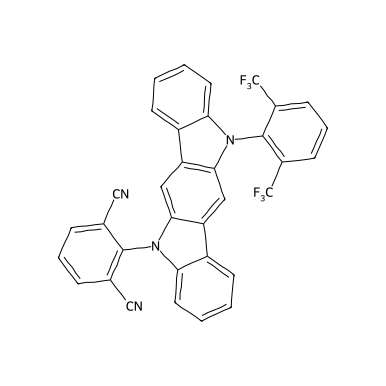 N#Cc1cccc(C#N)c1-n1c2ccccc2c2cc3c(cc21)c1ccccc1n3-c1c(C(F)(F)F)cccc1C(F)(F)F